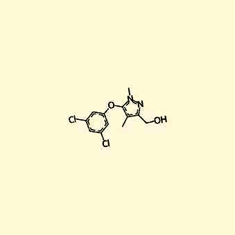 Cc1c(CO)nn(C)c1Oc1cc(Cl)cc(Cl)c1